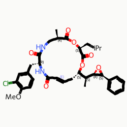 COc1ccc(C[C@H]2NC(=O)/C=C/C[C@@H]([C@H](C)[C@H]3O[C@H]3c3ccccc3)OC(=O)[C@H](CC(C)C)OC(=O)[C@H](C)CNC2=O)cc1Cl